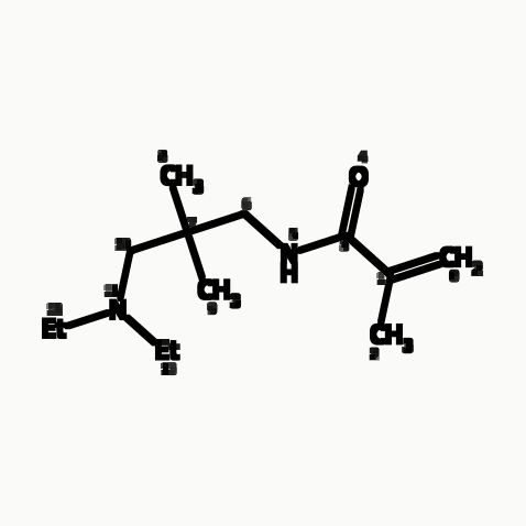 C=C(C)C(=O)NCC(C)(C)CN(CC)CC